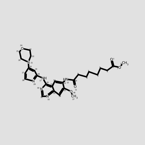 COC(=O)CCCCCCC(=O)Nc1cc2c(Nc3cc(N4CCOCC4)ccn3)ncnc2cc1OC